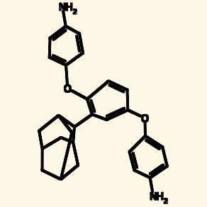 Nc1ccc(Oc2ccc(Oc3ccc(N)cc3)c(C3C4CC5CC(C4)CC3C5)c2)cc1